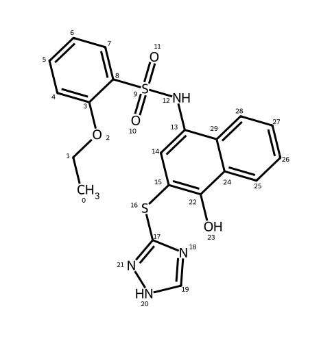 CCOc1ccccc1S(=O)(=O)Nc1cc(Sc2nc[nH]n2)c(O)c2ccccc12